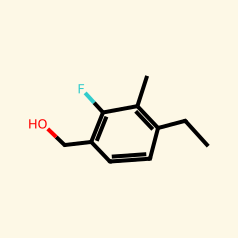 CCc1ccc(CO)c(F)c1C